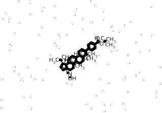 C=C(C)[C@@H]1CC[C@]2(C=NO)CC[C@]3(C)[C@H](CC[C@@H]4[C@@]5(C)CC=C(c6ccc(C(=O)OC(C)(C)C)cc6)C(C)(C)[C@@H]5CC[C@]43C)[C@@H]12